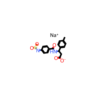 Cc1ccc(C(CC(=O)[O-])NC(=O)c2ccc(N=S(=O)=O)cc2)cc1.[Na+]